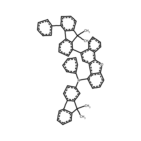 CC1(C)c2ccccc2-c2ccc(N(c3ccccc3)c3cccc4oc5c6ccccc6c(-c6cccc7c6C(C)(C)c6cccc(-c8ccccc8)c6-7)cc5c34)cc21